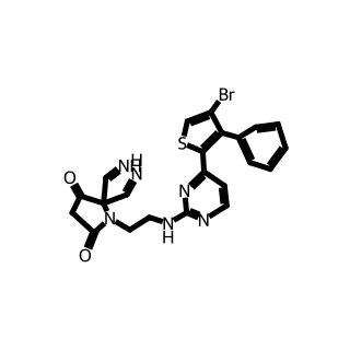 N=CC1(C=N)C(=O)CC(=O)N1CCNc1nccc(-c2scc(Br)c2-c2ccccc2)n1